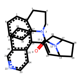 O=C(N1CCCc2ccccc21)N1C2C=C(c3cccc4cnccc34)CC1CC2